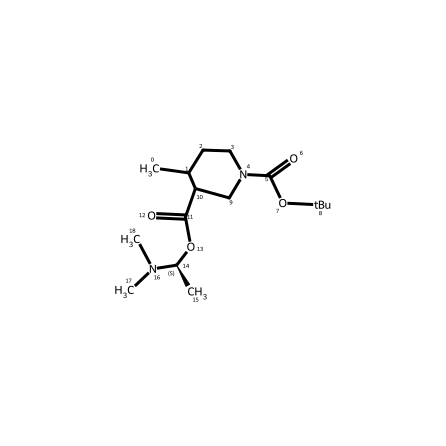 CC1CCN(C(=O)OC(C)(C)C)CC1C(=O)O[C@@H](C)N(C)C